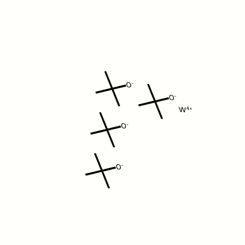 CC(C)(C)[O-].CC(C)(C)[O-].CC(C)(C)[O-].CC(C)(C)[O-].[W+4]